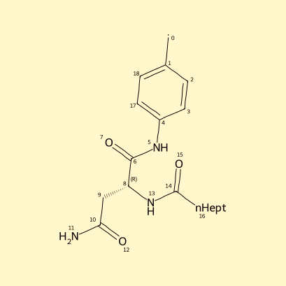 [CH2]c1ccc(NC(=O)[C@@H](CC(N)=O)NC(=O)CCCCCCC)cc1